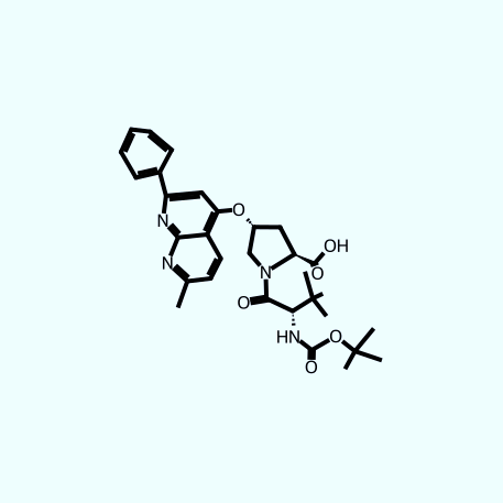 Cc1ccc2c(O[C@@H]3C[C@@H](C(=O)O)N(C(=O)[C@@H](NC(=O)OC(C)(C)C)C(C)(C)C)C3)cc(-c3ccccc3)nc2n1